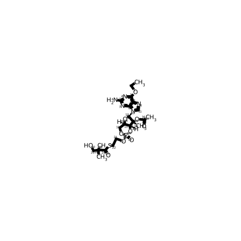 CCOc1nc(N)nc2c1ncn2[C@@H]1O[C@@H]2CO[P@](=O)(OCCSC(=O)C(C)(C)CO)O[C@H]2[C@@]1(C)OC(C)=O